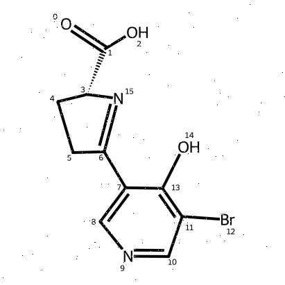 O=C(O)[C@H]1CCC(c2cncc(Br)c2O)=N1